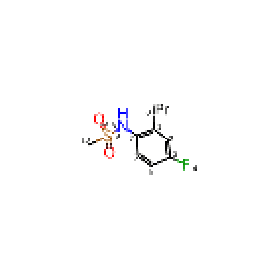 CC(C)c1cc(F)ccc1NS(C)(=O)=O